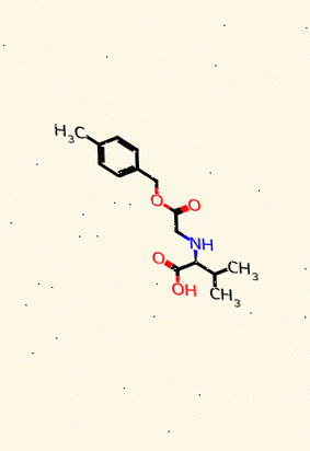 Cc1ccc(COC(=O)CN[C@H](C(=O)O)C(C)C)cc1